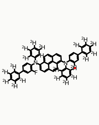 [2H]c1c([2H])c([2H])c(-c2ccc(N(c3c([2H])c([2H])c([2H])c([2H])c3[2H])c3ccc4ccc5c(N(c6ccc(-c7c([2H])c([2H])c([2H])c([2H])c7[2H])cc6F)c6c([2H])c([2H])c([2H])c([2H])c6[2H])ccc6ccc3c4c65)c(F)c2)c([2H])c1[2H]